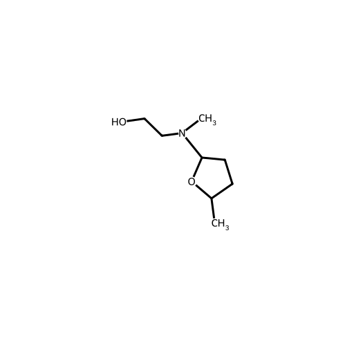 CC1CCC(N(C)CCO)O1